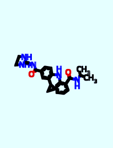 CC(C)NC(=O)c1ccccc1Nc1ccc(C(=O)N=C2NCCN2)cc1C1CC1